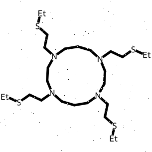 CCSCCN1CCCN(CCSCC)CCN(CCSCC)CCCN(CCSCC)CC1